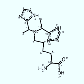 CC(c1ncc[nH]1)N(CCCCC(N)C(=O)O)C(C)c1ncc[nH]1